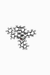 c1ccc(-c2cccc(-c3nc(-c4ccc5c(ccc6ccccc65)c4)nc(-c4c(-n5c6ccccc6c6cc7ccccc7cc65)ccc5sc6ccccc6c45)n3)c2)cc1